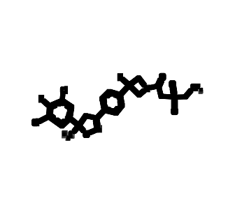 O=C(CS(=O)(=O)CC(F)(F)F)N1CC(F)(c2ccc(C3=NOC(c4cc(Cl)c(F)c(Cl)c4)(C(F)(F)F)C3)cc2)C1